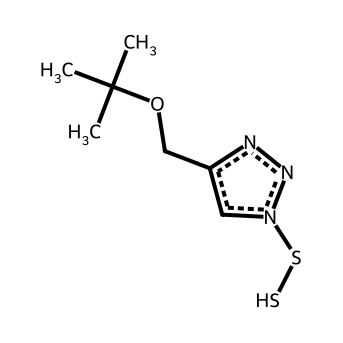 CC(C)(C)OCc1cn(SS)nn1